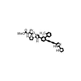 COC(=O)N[C@H](C(=O)N1CCC[C@H]1c1ncc(-c2ccc(C#CC#Cc3cnc(C4CCCN4)[nH]3)c(-c3ccccc3C)c2)[nH]1)C(C)C